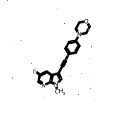 Cn1cc(C#Cc2ccc(N3CCOCC3)cc2)c2cc(F)cnc21